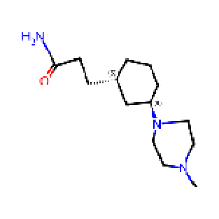 CN1CCN([C@@H]2CCC[C@@H](CCC(N)=O)C2)CC1